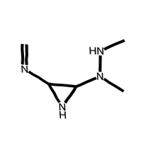 C=NC1NC1N(C)NC